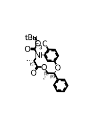 C[C@H](NC(=O)OC(C)(C)C)C(=O)O[C@@H](C)[C@H](Oc1ccc(C(F)(F)F)cc1)c1ccccc1